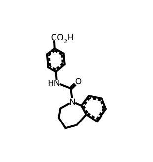 O=C(O)c1ccc(NC(=O)N2CCCCc3ccccc32)cc1